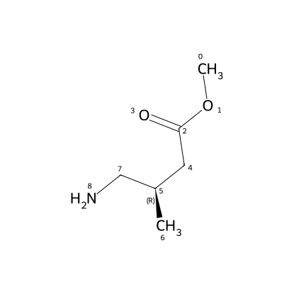 COC(=O)C[C@@H](C)CN